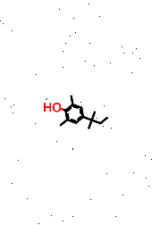 CCC(C)(C)c1cc(C)c(O)c(C)c1